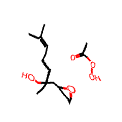 CC(=O)OO.CC(C)=CCCC(C)(O)C1CO1